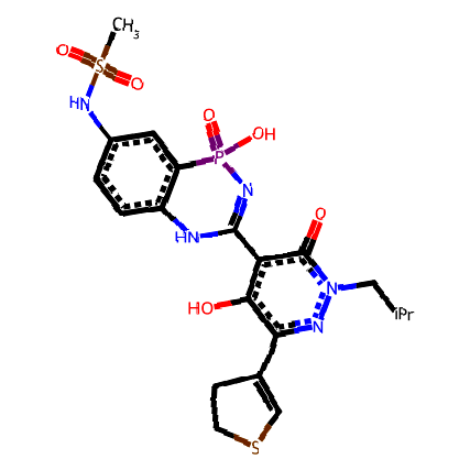 CC(C)Cn1nc(C2=CSCC2)c(O)c(C2=NP(=O)(O)c3cc(NS(C)(=O)=O)ccc3N2)c1=O